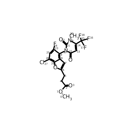 COC(=O)CCc1cc2c(-n3c(=O)cc(C(F)(F)F)n(C)c3=O)c(F)cc(Cl)c2o1